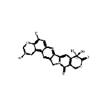 CC[C@@]1(O)C(=O)OCc2c1cc1n(c2=O)Cc2cc3c4c(c(F)cc3nc2-1)OCN(C(C)C)C4